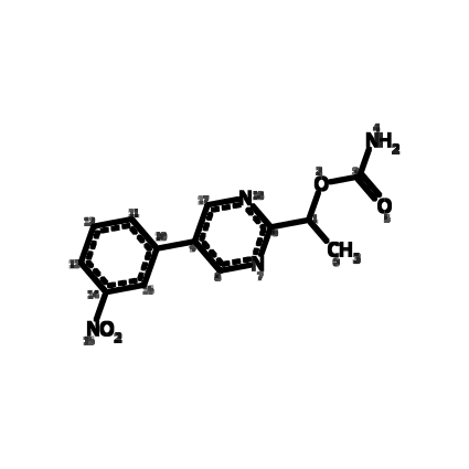 CC(OC(N)=O)c1ncc(-c2cccc([N+](=O)[O-])c2)cn1